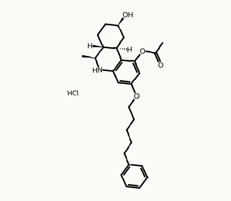 CC(=O)Oc1cc(OCCCCCc2ccccc2)cc2c1[C@@H]1C[C@H](O)CC[C@H]1[C@H](C)N2.Cl